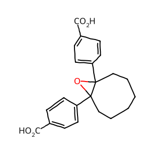 O=C(O)c1ccc(C23CCCCCCC2(c2ccc(C(=O)O)cc2)O3)cc1